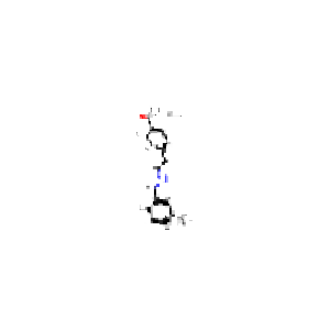 COC(=O)c1ccc(CCNCc2cccc(C(F)(F)F)c2)cc1